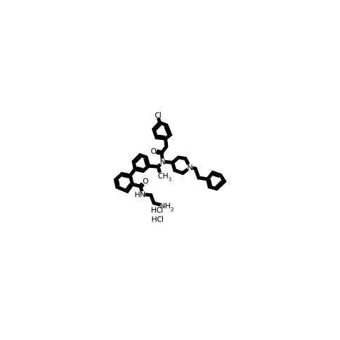 CC(c1cccc(-c2ccccc2C(=O)NCCN)c1)N(C(=O)Cc1ccc(Cl)cc1)C1CCN(CCc2ccccc2)CC1.Cl.Cl